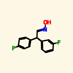 ON=CC(c1ccc(F)cc1)c1cccc(F)c1